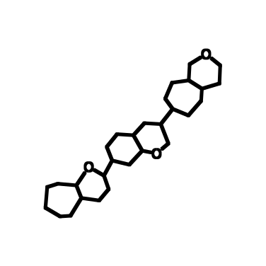 C1CCC2CCC(C3CCC4CC(C5CCC6CCOCC6CC5)COC4C3)OC2CC1